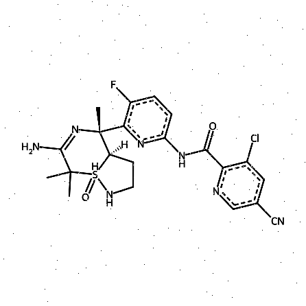 CC1(C)C(N)=N[C@](C)(c2nc(NC(=O)c3ncc(C#N)cc3Cl)ccc2F)[C@H]2CCN[SH]21=O